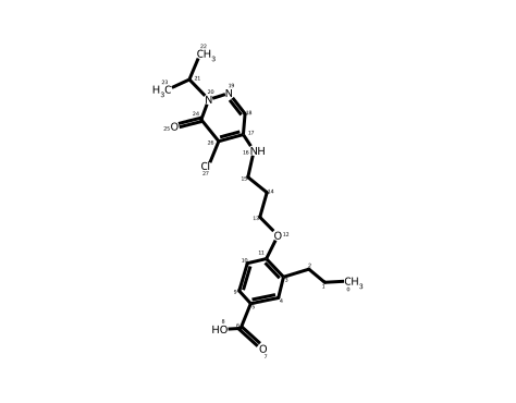 CCCc1cc(C(=O)O)ccc1OCCCNc1cnn(C(C)C)c(=O)c1Cl